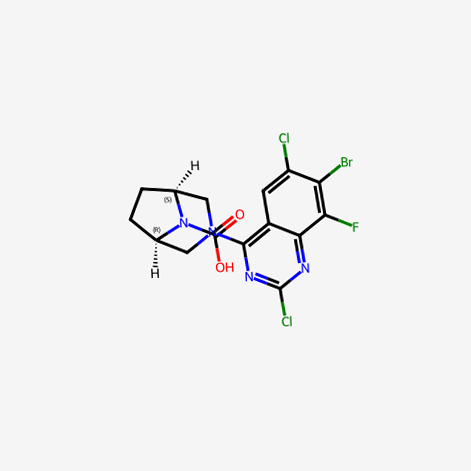 O=C(O)N1[C@@H]2CC[C@H]1CN(c1nc(Cl)nc3c(F)c(Br)c(Cl)cc13)C2